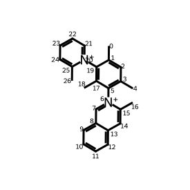 Cc1cc(C)c(-[n+]2cc3ccccc3cc2C)c(C)c1-[n+]1ccccc1C